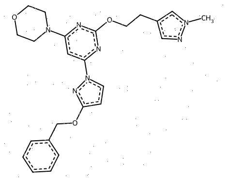 Cn1cc(CCOc2nc(N3CCOCC3)cc(-n3ccc(OCc4ccccc4)n3)n2)cn1